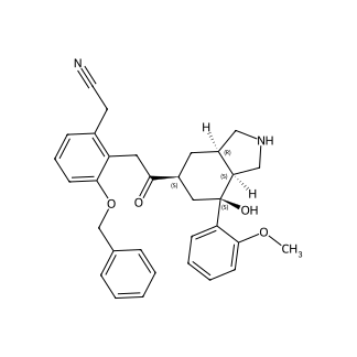 COc1ccccc1[C@]1(O)C[C@@H](C(=O)Cc2c(CC#N)cccc2OCc2ccccc2)C[C@H]2CNC[C@H]21